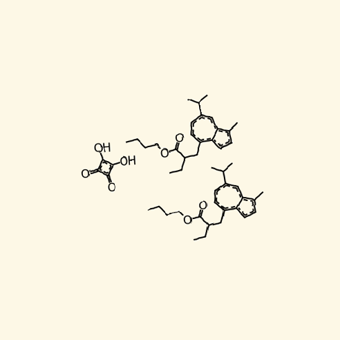 CCCCOC(=O)C(CC)Cc1ccc(C(C)C)cc2c(C)ccc1-2.CCCCOC(=O)C(CC)Cc1ccc(C(C)C)cc2c(C)ccc1-2.O=c1c(O)c(O)c1=O